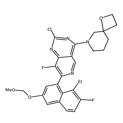 CCc1c(F)ccc2cc(OCOC)cc(-c3ncc4c(N5CCCC6(CCO6)C5)nc(Cl)nc4c3F)c12